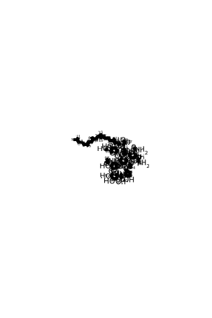 C=C(C/C=C(\C)CCC=C(C)C)CCC(C)(C)/C=C/CC/C(C)=C/CO[C@@H](COP(=O)(O)O[C@H]1O[C@H](C(N)=O)[C@@](C)(O)[C@H](OC(N)=O)[C@H]1O[C@@H]1O[C@H](CO[C@@H]2O[C@H](CO)[C@@H](O)[C@H](O)[C@H]2O)[C@@H](O[C@@H]2O[C@H](C)[C@@H](O[C@@H]3O[C@H](C(=O)NC4=C(O)CCC4=O)[C@H](O)[C@H](O)[C@H]3O)[C@H](O)[C@H]2NC(C)=O)[C@H](O)[C@H]1NC(C)=O)C(=O)O